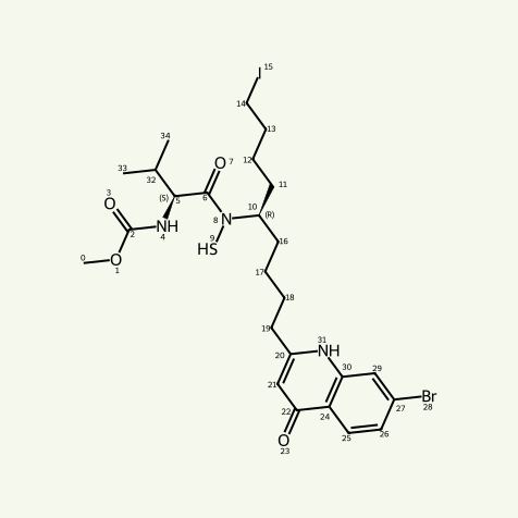 COC(=O)N[C@H](C(=O)N(S)[C@@H](CCCCI)CCCCc1cc(=O)c2ccc(Br)cc2[nH]1)C(C)C